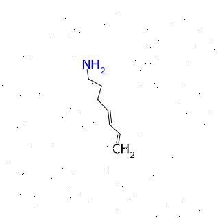 C=C/C=C/CCCN